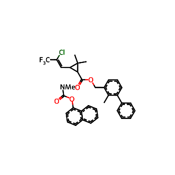 CNC(=O)Oc1cccc2ccccc12.Cc1c(COC(=O)C2C(/C=C(\Cl)C(F)(F)F)C2(C)C)cccc1-c1ccccc1